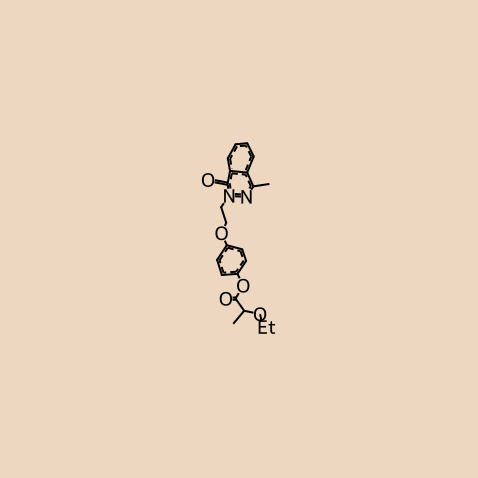 CCOC(C)C(=O)Oc1ccc(OCCn2nc(C)c3ccccc3c2=O)cc1